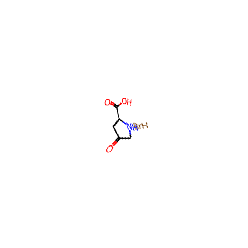 Br.O=C1CN[C@H](C(=O)O)C1